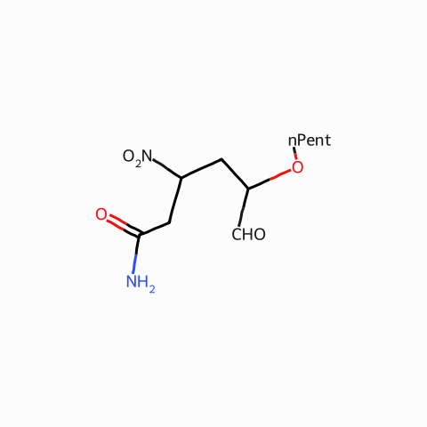 CCCCCOC(C=O)CC(CC(N)=O)[N+](=O)[O-]